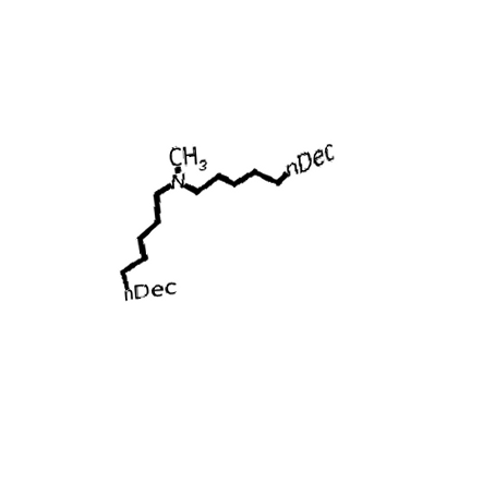 CCCCCCCCCCCCCCCN(C)CCCCCCCCCCCCCCC